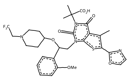 COc1ccccc1C(Cn1c(=O)n(C(C)(C)C(=O)O)c(=O)c2c(C)c(-c3ncco3)sc21)OC1CCN(CC(F)(F)F)CC1